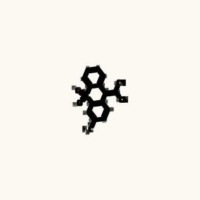 N#CC(C#N)=C1c2ccccc2S(=O)(=O)c2cc(C(F)(F)F)ccc21